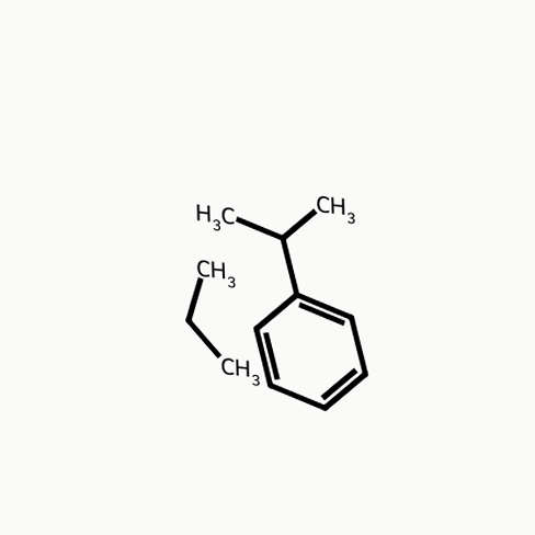 CC(C)c1ccccc1.CCC